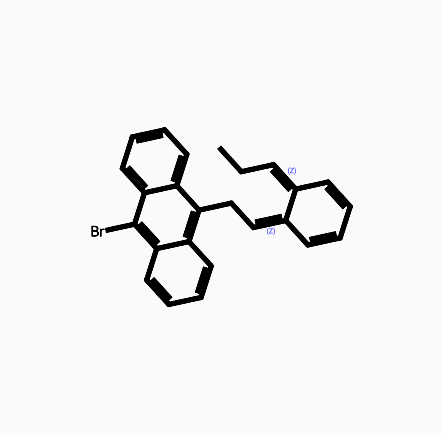 CC/C=c1/cccc/c1=C/Cc1c2ccccc2c(Br)c2ccccc12